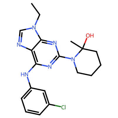 CCn1cnc2c(Nc3cccc(Cl)c3)nc(N3CCCCC3(C)O)nc21